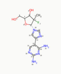 CC1(F)C(O)C(CO)O[C@H]1n1cnc(-c2cnc(N)nc2N)c1